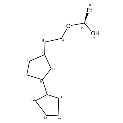 CC[C@@H](O)OCCC1CCC(C2CCCC2)C1